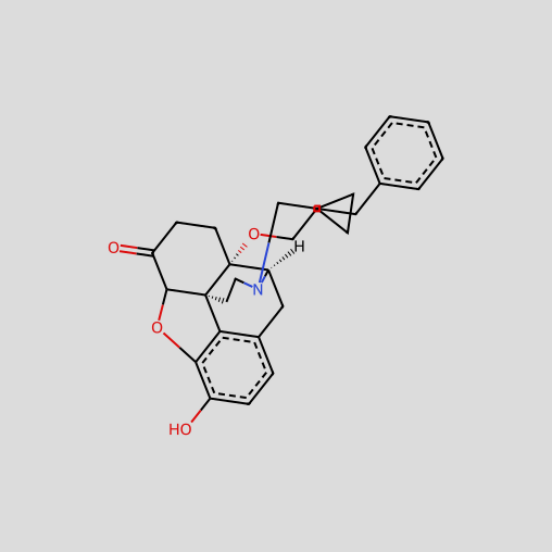 O=C1CC[C@@]2(OCCCc3ccccc3)[C@H]3Cc4ccc(O)c5c4[C@@]2(CCN3CC2CC2)C1O5